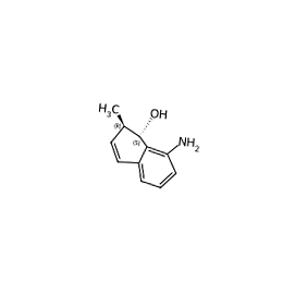 C[C@@H]1C=Cc2cccc(N)c2[C@H]1O